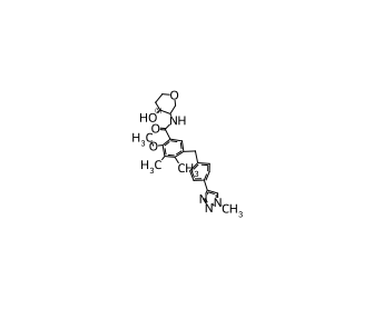 COc1c(C(=O)NC2COCC[C@@H]2O)cc(Cc2ccc(-c3cn(C)nn3)cc2)c(C)c1C